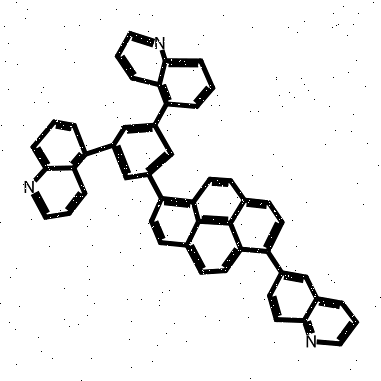 c1cnc2ccc(-c3ccc4ccc5c(-c6cc(-c7cccc8ncccc78)cc(-c7cccc8ncccc78)c6)ccc6ccc3c4c65)cc2c1